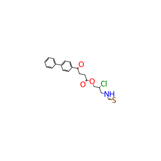 O=C(CCC(=O)c1ccc(-c2ccccc2)cc1)OCC(Cl)CNC=S